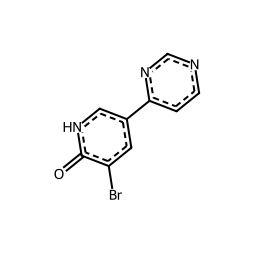 O=c1[nH]cc(-c2ccncn2)cc1Br